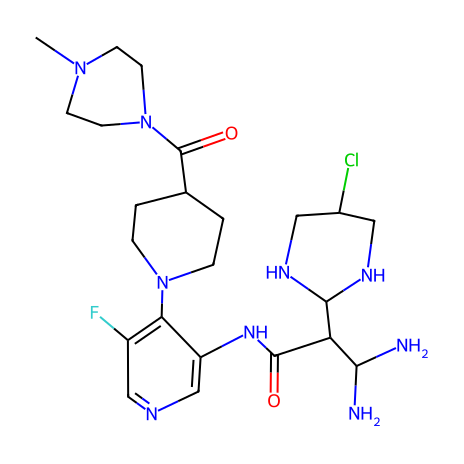 CN1CCN(C(=O)C2CCN(c3c(F)cncc3NC(=O)C(C(N)N)C3NCC(Cl)CN3)CC2)CC1